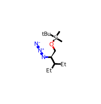 CCC(CC)[C@H](CO[Si](C)(C)C(C)(C)C)N=[N+]=[N-]